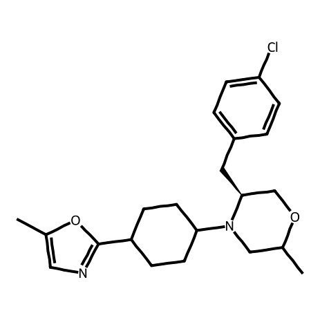 Cc1cnc(C2CCC(N3CC(C)OC[C@@H]3Cc3ccc(Cl)cc3)CC2)o1